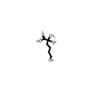 CC(S)(CCCCS)C(=O)O